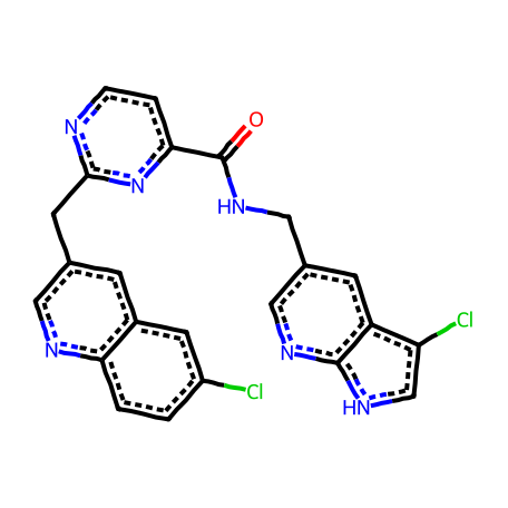 O=C(NCc1cnc2[nH]cc(Cl)c2c1)c1ccnc(Cc2cnc3ccc(Cl)cc3c2)n1